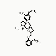 COc1ccc([C@]23CCN(C)[C@H]2CC2(CC3)OCC(COc3ccccc3OC)O2)cc1C